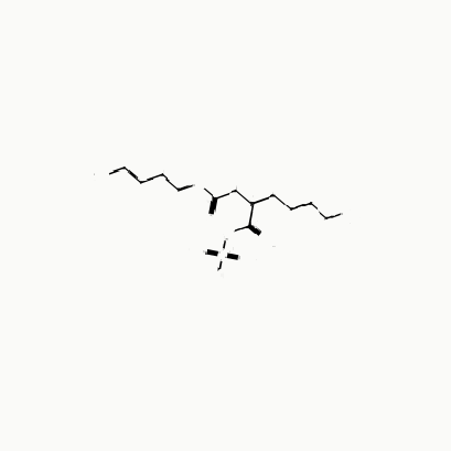 CCCCCOC(=O)CC(CCCCC)C(=O)OS(=O)(=O)O